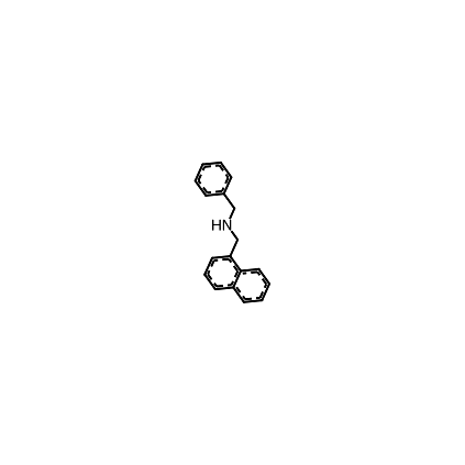 c1ccc(CNCc2cccc3ccccc23)cc1